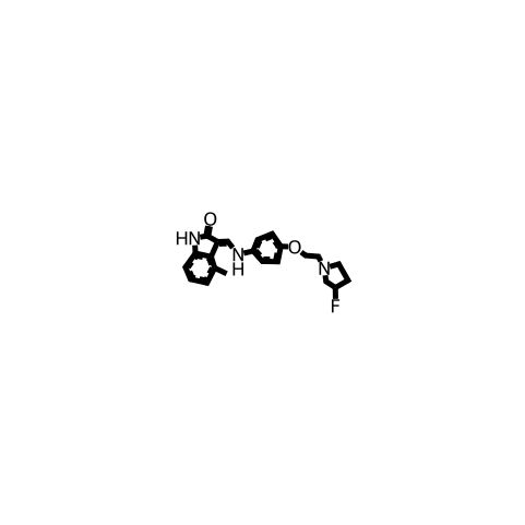 Cc1cccc2c1/C(=C\Nc1ccc(OCCN3CCC(F)C3)cc1)C(=O)N2